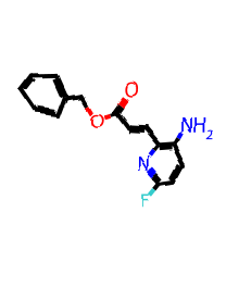 Nc1ccc(F)nc1/C=C/C(=O)OCc1ccccc1